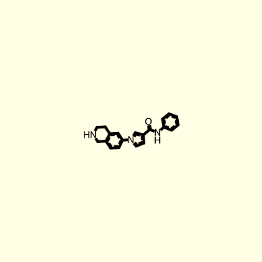 O=C(Nc1ccccc1)c1ccn(-c2ccc3c(c2)CCNC3)c1